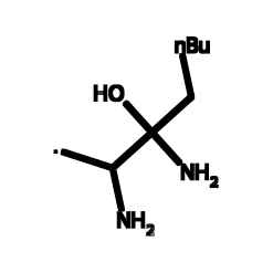 [CH2]C(N)C(N)(O)CCCCC